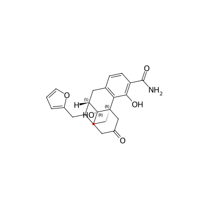 NC(=O)c1ccc2c(c1O)[C@]13CCC(Cc4ccco4)[C@H](C2)[C@]1(O)CCC(=O)C3